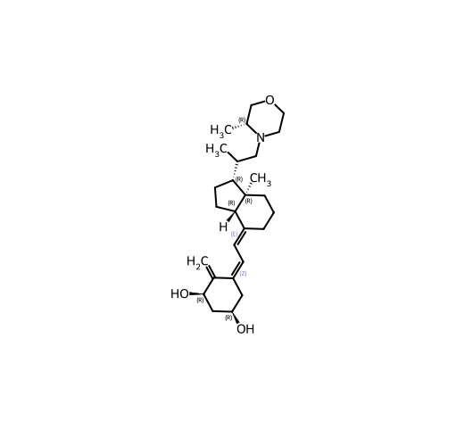 C=C1/C(=C\C=C2/CCC[C@]3(C)[C@@H](C(C)CN4CCOC[C@H]4C)CC[C@@H]23)C[C@@H](O)C[C@H]1O